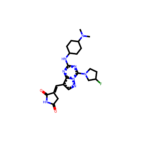 CN(C)C1CCC(Nc2nc(N3CCC(F)C3)n3ncc(/C=C4\CC(=O)NC4=O)c3n2)CC1